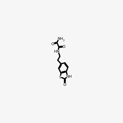 NC(=O)C(=O)NCCc1ccc2[nH]c(=O)sc2c1